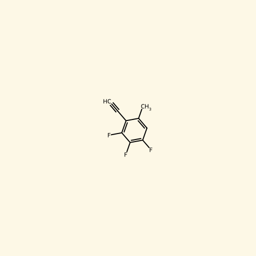 C#Cc1c(C)cc(F)c(F)c1F